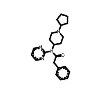 O=C(Cc1ccccc1)N(c1ncccn1)C1CCN(C2CCCC2)CC1